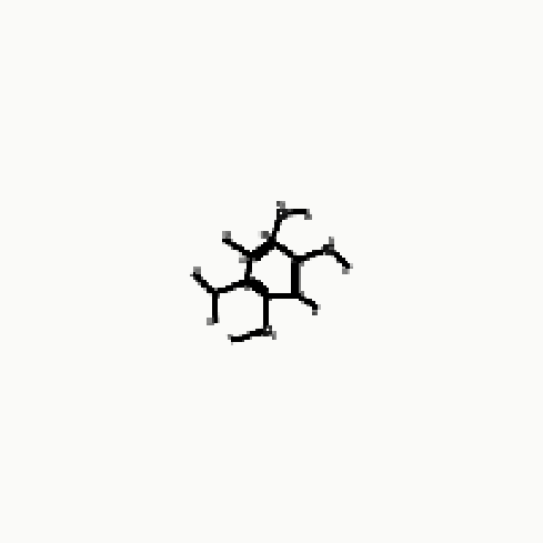 COc1c(C)c(OC)c(C(C)C)c(C)c1OC